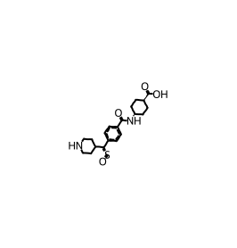 O=S=C(c1ccc(C(=O)N[C@H]2CC[C@H](C(=O)O)CC2)cc1)C1CCNCC1